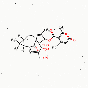 CC1=C[C@@]23CC[C@@H]4[C@H]([C@H](C=C(CO)[C@@H](O)[C@]2(O)[C@H]1OC(=O)c1c(C)cc(=O)oc1C)C3=O)C4(C)C